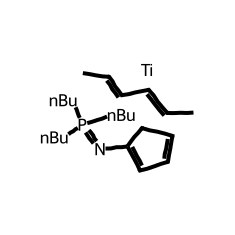 CC=CC=CC.CCCCP(CCCC)(CCCC)=NC1=CC=CC1.[Ti]